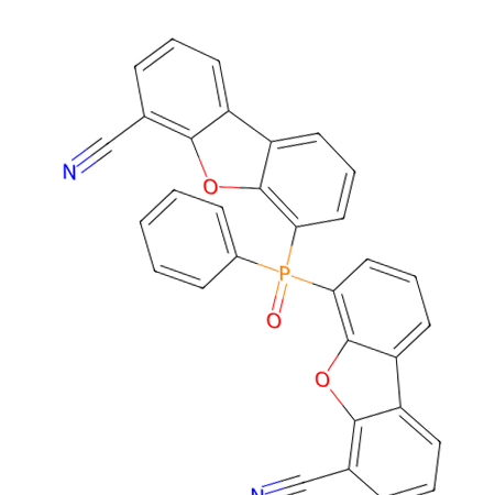 N#Cc1cccc2c1oc1c(P(=O)(c3ccccc3)c3cccc4c3oc3c(C#N)cccc34)cccc12